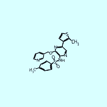 Cc1ccc(S(=O)(=O)Nc2ncc(-c3ccsc3C)nc2OCc2cccnc2)cc1